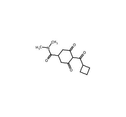 CN(C)C(=O)C1CC(=O)C(C(=O)C2CCC2)C(=O)C1